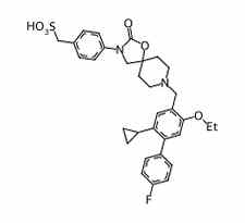 CCOc1cc(-c2ccc(F)cc2)c(C2CC2)cc1CN1CCC2(CC1)CN(c1ccc(CS(=O)(=O)O)cc1)C(=O)O2